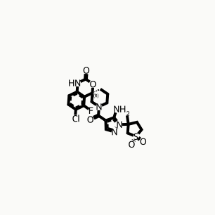 CC1(n2ncc(C(=O)N3CCC[C@@]4(C3)OC(=O)Nc3ccc(Cl)c(F)c34)c2N)CCS(=O)(=O)C1